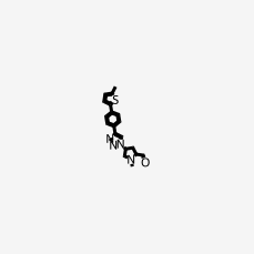 Cc1ccc(-c2ccc(-c3cn(C4CC(C=O)N(C)C4)nn3)cc2)s1